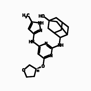 Cc1cc(Nc2cc(O[C@@H]3CCOC3)nc(NC3C4CC5CC3CC(O)(C5)C4)n2)n[nH]1